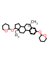 C[C@H]1CC2C(CC[C@]3(C)C(OC4CCCCO4)CCC23)c2ccc(OC3CCCCO3)cc21